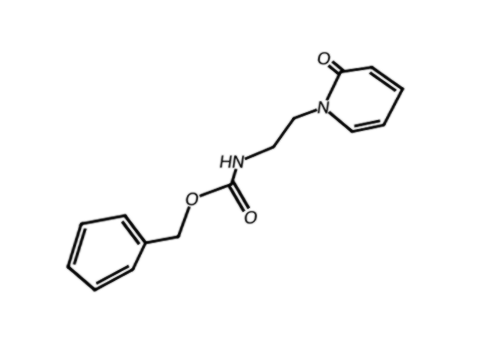 O=C(NCCn1ccccc1=O)OCc1ccccc1